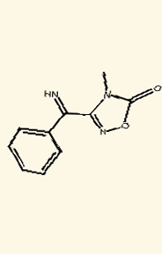 Cn1c(C(=N)c2ccccc2)noc1=O